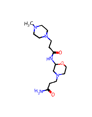 CN1CCN(CCC(=O)NC2CN(CCC(N)=O)CCO2)CC1